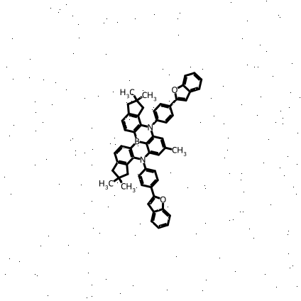 Cc1cc2c3c(c1)N(c1ccc(-c4cc5ccccc5o4)cc1)c1c(ccc4c1CC(C)(C)C4)B3c1ccc3c(c1N2c1ccc(-c2cc4ccccc4o2)cc1)CC(C)(C)C3